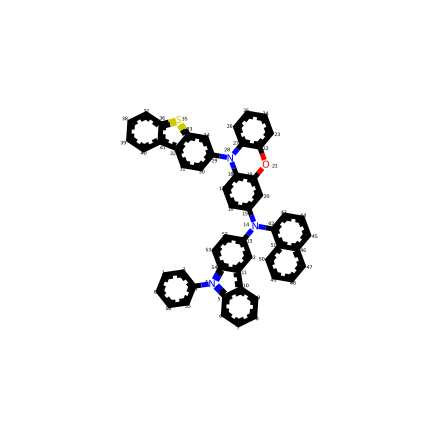 c1ccc(-n2c3ccccc3c3cc(N(c4ccc5c(c4)Oc4ccccc4N5c4ccc5c(c4)sc4ccccc45)c4cccc5ccccc45)ccc32)cc1